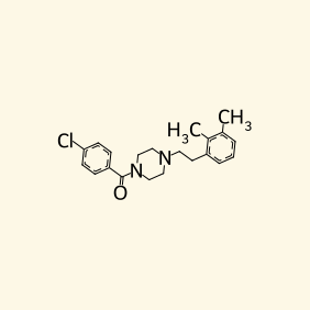 Cc1cccc(CCN2CCN(C(=O)c3ccc(Cl)cc3)CC2)c1C